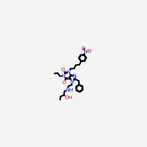 CCCn1c(=O)c2c(nc(Cc3ccccc3)n2CCNCC(O)CC)n(CCCCc2ccc([N+](=O)[O-])cc2)c1=O